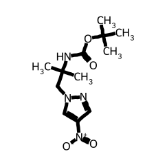 CC(C)(Cn1cc([N+](=O)[O-])cn1)NC(=O)OC(C)(C)C